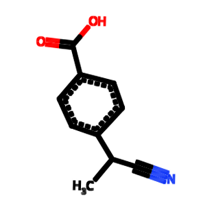 CC(C#N)c1ccc(C(=O)O)cc1